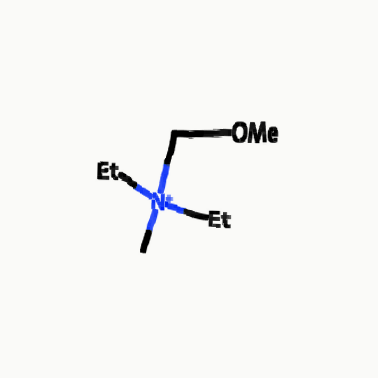 CC[N+](C)(CC)COC